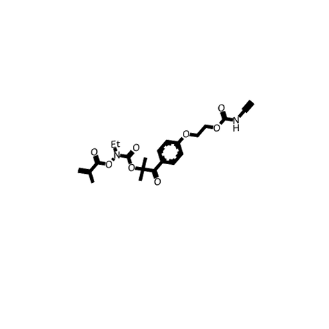 C#CNC(=O)OCCOc1ccc(C(=O)C(C)(C)OC(=O)N(CC)OC(=O)C(=C)C)cc1